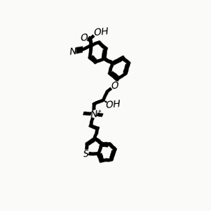 C[N+](C)(CCc1csc2ccccc12)C[C@@H](O)COc1cccc(C2=CCC(C#N)(C(=O)O)C=C2)c1